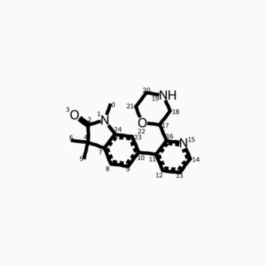 CN1C(=O)C(C)(C)c2ccc(-c3cccnc3C3CNCCO3)cc21